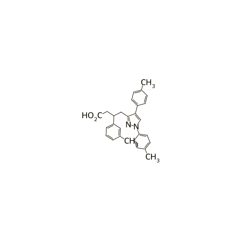 Cc1ccc(-c2cn(-c3ccc(C)cc3)nc2CC(CC(=O)O)c2cccc(C)c2)cc1